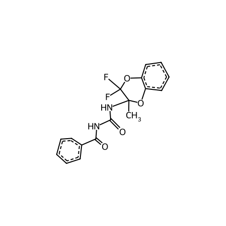 CC1(NC(=O)NC(=O)c2ccccc2)Oc2ccccc2OC1(F)F